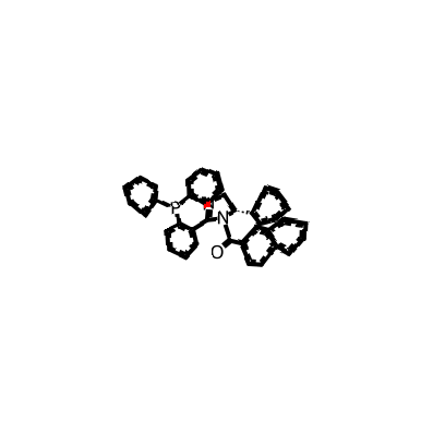 O=C(c1ccc2ccccc2c1)N1C(c2ccccc2P(c2ccccc2)c2ccccc2)=NC[C@@H]1c1ccccc1